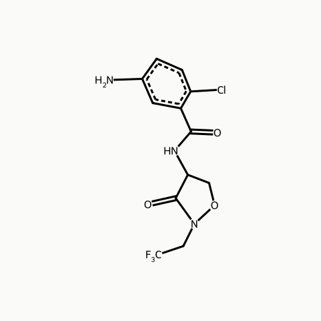 Nc1ccc(Cl)c(C(=O)NC2CON(CC(F)(F)F)C2=O)c1